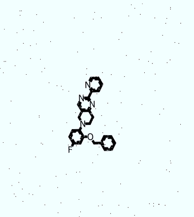 Fc1ccc(N2CCc3nc(-c4ccccn4)ncc3C2)c(OCc2ccccc2)c1